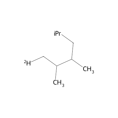 [2H]CC(C)C(C)CC(C)C